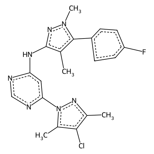 Cc1nn(-c2cc(Nc3nn(C)c(-c4ccc(F)cc4)c3C)ncn2)c(C)c1Cl